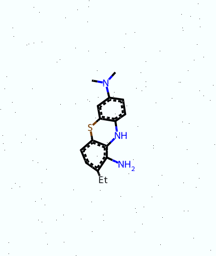 CCc1ccc2c(c1N)Nc1ccc(N(C)C)cc1S2